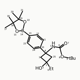 CCC1(O)CC(NC(=O)OC(C)(C)C)(c2ccc(B3OC(C)(C)C(C)(C)O3)cc2)C1